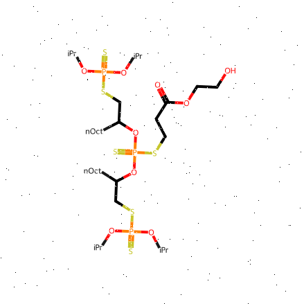 CCCCCCCCC(CSP(=S)(OC(C)C)OC(C)C)OP(=S)(OC(CCCCCCCC)CSP(=S)(OC(C)C)OC(C)C)SCCC(=O)OCCO